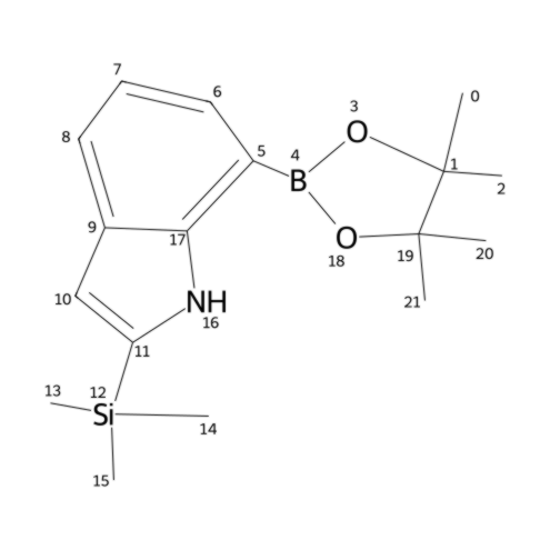 CC1(C)OB(c2cccc3cc([Si](C)(C)C)[nH]c23)OC1(C)C